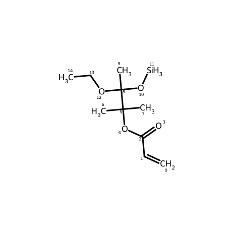 C=CC(=O)OC(C)(C)C(C)(O[SiH3])OCC